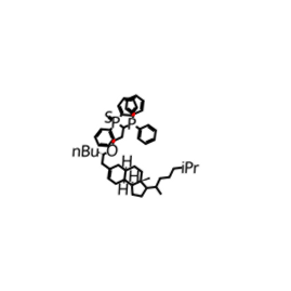 CCCC[C@@H](CC1=CC[C@@H]2[C@H](CC[C@]3(C)C(C(C)CCCC(C)C)CC[C@@H]23)C1)OCCC(P(c1ccccc1)c1ccccc1)P(=S)(c1ccccc1)c1ccccc1